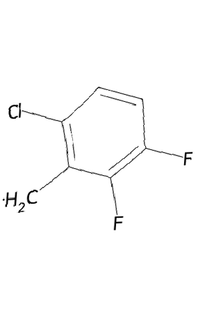 [CH2]c1c(Cl)ccc(F)c1F